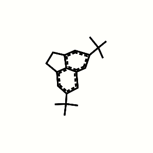 CC(C)(C)c1cc2c3c(cc(C(C)(C)C)cc3c1)CC2